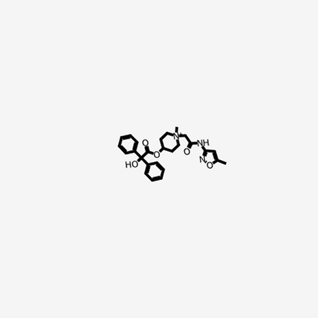 Cc1cc(NC(=O)C[N+]2(C)CCC(OC(=O)C(O)(c3ccccc3)c3ccccc3)CC2)no1